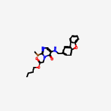 CCCCOC(=O)Cn1c(SC)ncc(NCc2ccc3oc4ccccc4c3c2)c1=O